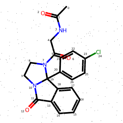 CC(=O)NCC(=O)N1CCN2C(=O)c3ccccc3C12c1ccc(Cl)cc1